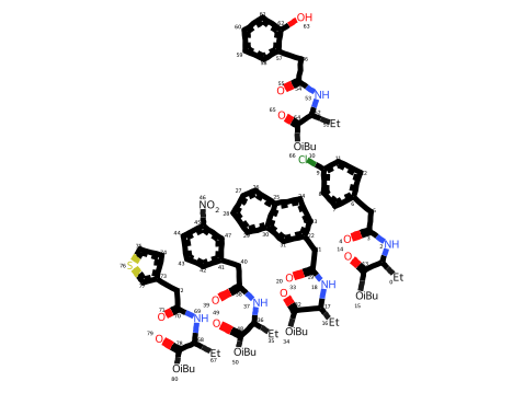 CCC(NC(=O)Cc1ccc(Cl)cc1)C(=O)OCC(C)C.CCC(NC(=O)Cc1ccc2ccccc2c1)C(=O)OCC(C)C.CCC(NC(=O)Cc1cccc([N+](=O)[O-])c1)C(=O)OCC(C)C.CCC(NC(=O)Cc1ccccc1O)C(=O)OCC(C)C.CCC(NC(=O)Cc1ccsc1)C(=O)OCC(C)C